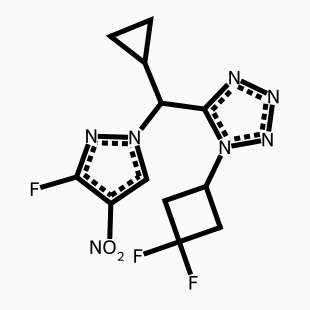 O=[N+]([O-])c1cn(C(c2nnnn2C2CC(F)(F)C2)C2CC2)nc1F